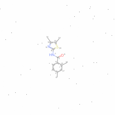 Cc1ccc(C(=O)Nc2nc(C)c(C)s2)c(C)c1